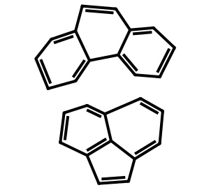 C1=Cc2cccc3cccc1c23.c1ccc2c(c1)ccc1ccccc12